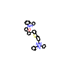 c1ccc(-c2nc(-c3ccccc3)nc(-c3ccc4c(c3)sc3c(-c5cccc6c5oc5c(Nc7ccccc7-c7ccccc7)cccc56)cccc34)n2)cc1